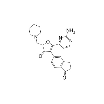 Nc1nccc(C2=C(c3ccc4c(c3)CCC4=O)C(=O)C(CN3CCCCC3)O2)n1